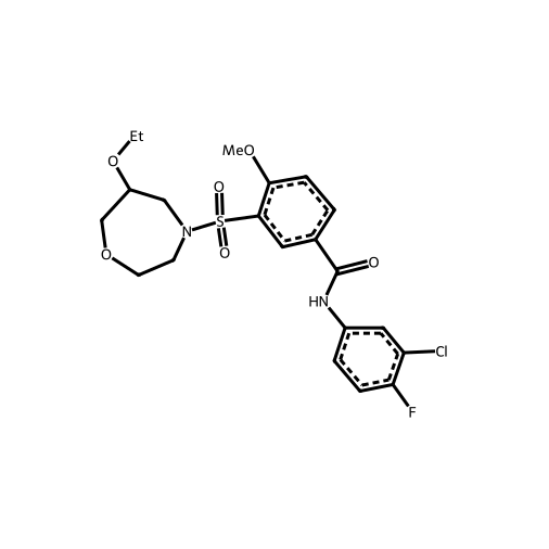 CCOC1COCCN(S(=O)(=O)c2cc(C(=O)Nc3ccc(F)c(Cl)c3)ccc2OC)C1